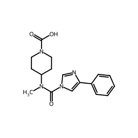 CN(C(=O)n1cnc(-c2ccccc2)c1)C1CCN(C(=O)O)CC1